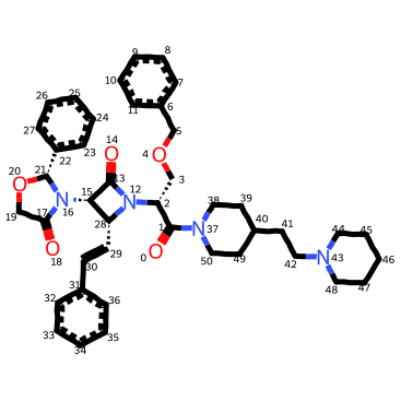 O=C([C@@H](COCc1ccccc1)N1C(=O)[C@@H](N2C(=O)CO[C@@H]2c2ccccc2)[C@H]1/C=C/c1ccccc1)N1CCC(CCN2CCCCC2)CC1